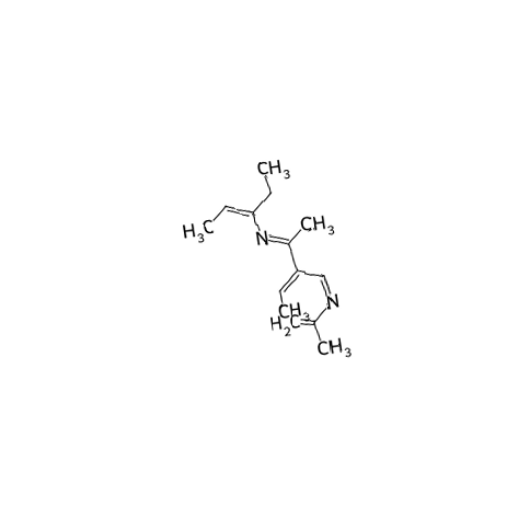 C=C(C)\N=C/C(=C\C)C(/C)=N/C(=C\C)CC